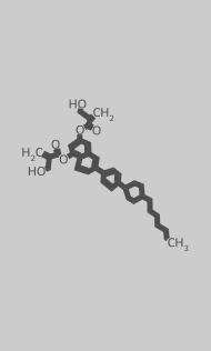 C=C(CO)C(=O)Oc1cc(OC(=O)C(=C)CO)c2ccc(-c3ccc(C4CCC(CCCCCCC)CC4)cc3)cc2c1